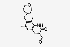 Cc1cc2cc(C=O)c(=O)[nH]c2c(C)c1CN1CCOCC1